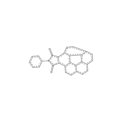 O=c1c2c3ccc4ccc5ccc6ccc(c2c(=O)n1-c1ccccc1)c1c6c5c4c31